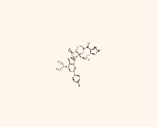 Cc1c[nH]nc1C(=O)N1CCN(C(=O)c2cn3nc(-c4ccc(F)cc4)cc(C(C)C)c3n2)C(C)(C)C1